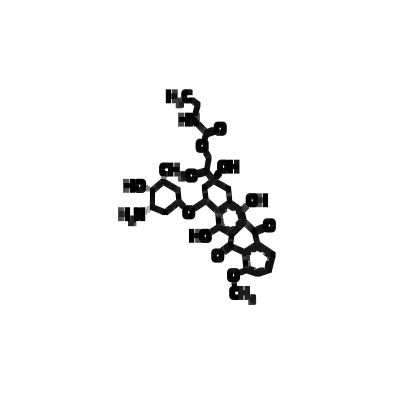 CCNC(=O)OCC(=O)[C@]1(O)Cc2c(O)c3c(c(O)c2C(OC2C[C@@H](C)[C@@H](O)[C@@H](N)C2)C1)C(=O)c1c(OC)cccc1C3=O